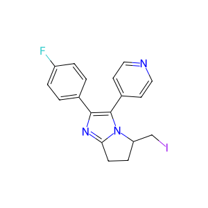 Fc1ccc(-c2nc3n(c2-c2ccncc2)C(CI)CC3)cc1